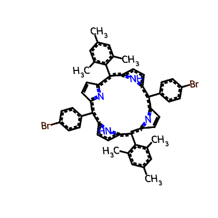 Cc1cc(C)c(-c2c3nc(c(-c4ccc(Br)cc4)c4ccc([nH]4)c(-c4c(C)cc(C)cc4C)c4nc(c(-c5ccc(Br)cc5)c5ccc2[nH]5)C=C4)C=C3)c(C)c1